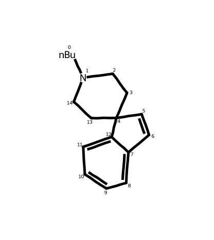 CCCCN1CCC2(C=Cc3ccccc32)CC1